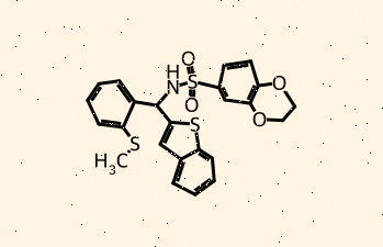 CSc1ccccc1C(NS(=O)(=O)c1ccc2c(c1)OCCO2)c1cc2ccccc2s1